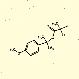 CCC(C)(I)C(=O)OC(C)(C)c1ccc(OC(F)(F)F)cc1